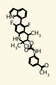 CC(=O)c1cccc(NC(=O)OC2C(C)c3c(cc(F)c(-c4cccc5cc[nH]c45)c3F)NC2(C)C)c1